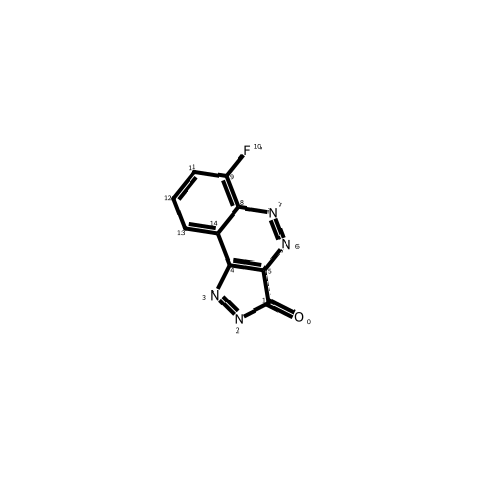 O=C1N=Nc2c1nnc1c(F)cccc21